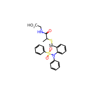 CC(S[Se]c1ccccc1N(c1ccccc1)S(=O)(=O)c1ccccc1)C(=O)NCC(=O)O